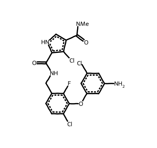 CNC(=O)c1c[nH]c(C(=O)NCc2ccc(Cl)c(Oc3cc(N)cc(Cl)c3)c2F)c1Cl